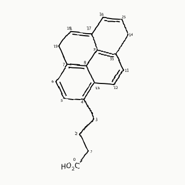 O=C(O)CCCc1ccc2c3c4c(ccc13)CC=CC4=CC2